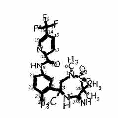 CN1C[C@@](C)(c2cc(NC(=O)c3ccc(C(F)(F)F)cn3)ccc2F)NC(=N)C(C)(C)S1(=O)=O